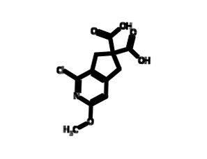 COc1cc2c(c(Cl)n1)CC(C(=O)O)(C(=O)O)C2